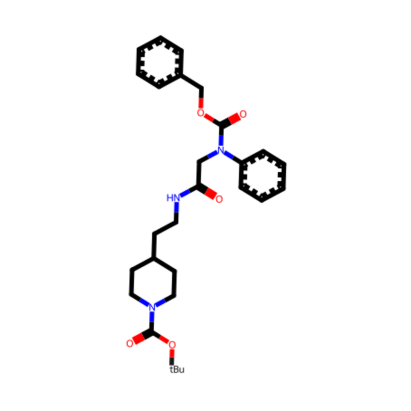 CC(C)(C)OC(=O)N1CCC(CCNC(=O)CN(C(=O)OCc2ccccc2)c2ccccc2)CC1